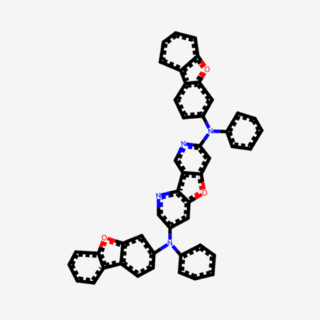 c1ccc(N(c2ccc3c(c2)oc2ccccc23)c2cnc3c(c2)oc2cc(N(c4ccccc4)c4ccc5c(c4)oc4ccccc45)ncc23)cc1